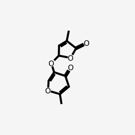 CC1=CC(Oc2coc(C)cc2=O)OC1=O